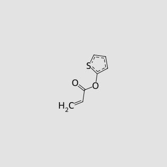 C=CC(=O)Oc1cccs1